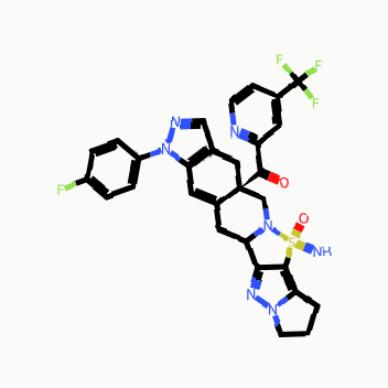 N=S1(=O)c2c(nn3c2CCC3)C2CC3=Cc4c(cnn4-c4ccc(F)cc4)C[C@]3(C(=O)c3cc(C(F)(F)F)ccn3)CN21